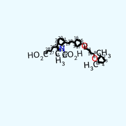 Cc1cccc(C)c1OC/C=C/COc1ccc(C=Cc2cccc3c(CCCC(=O)O)c(C)n(CC(=O)O)c23)cc1